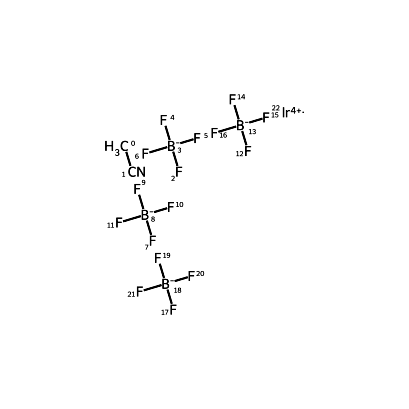 CC#N.F[B-](F)(F)F.F[B-](F)(F)F.F[B-](F)(F)F.F[B-](F)(F)F.[Ir+4]